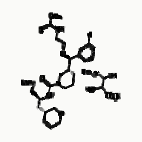 CNC[C@H](C[C@H]1CCCOC1)NC(=O)N1CCC[C@@H]([C@@H](OCCNC(=O)OC)c2cccc(Cl)c2)C1.O=C(O)C(O)C(O)C(=O)O